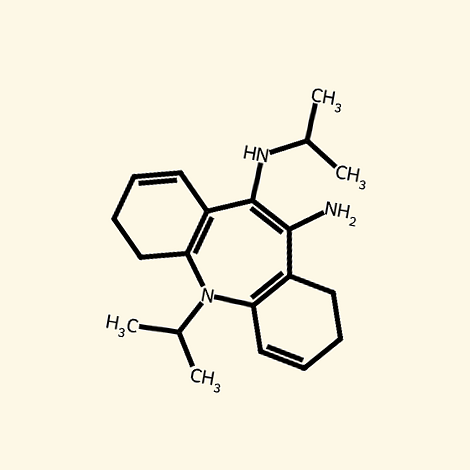 CC(C)NC1=C(N)C2=C(C=CCC2)N(C(C)C)C2=C1C=CCC2